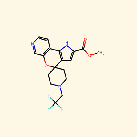 COC(=O)c1cc2c([nH]1)-c1ccncc1OC21CCN(CC(F)(F)F)CC1